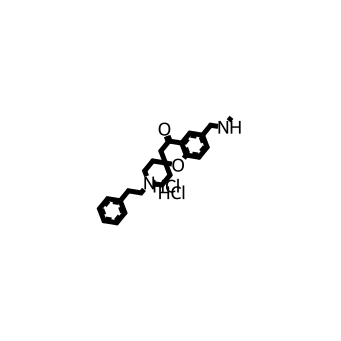 CNCc1ccc2c(c1)C(=O)CC1(CCN(CCc3ccccc3)CC1)O2.Cl.Cl